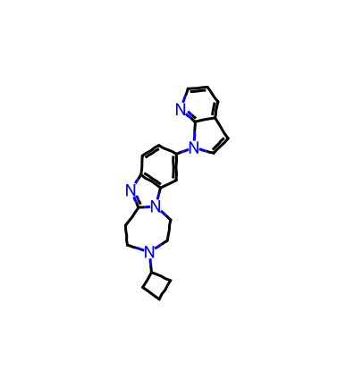 c1cnc2c(c1)ccn2-c1ccc2nc3n(c2c1)CCN(C1CCC1)CC3